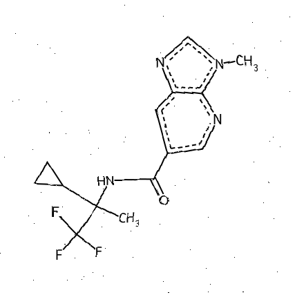 Cn1cnc2cc(C(=O)NC(C)(C3CC3)C(F)(F)F)cnc21